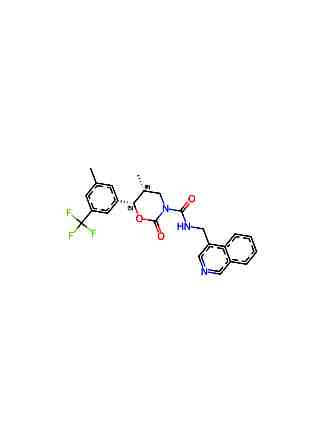 Cc1cc([C@H]2OC(=O)N(C(=O)NCc3cncc4ccccc34)C[C@H]2C)cc(C(F)(F)F)c1